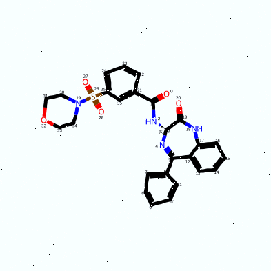 O=C(N[C@H]1N=C(c2ccccc2)c2ccccc2NC1=O)c1cccc(S(=O)(=O)N2CCOCC2)c1